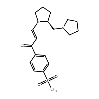 CS(=O)(=O)c1ccc(C(=O)/C=C/N2CCC[C@H]2CN2CCCC2)cc1